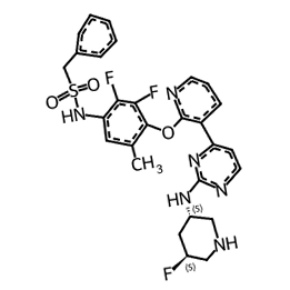 Cc1cc(NS(=O)(=O)Cc2ccccc2)c(F)c(F)c1Oc1ncccc1-c1ccnc(N[C@@H]2CNC[C@@H](F)C2)n1